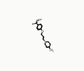 CC/C(=N/O)c1ccc(OCCCN2CCC(C)CC2)cc1